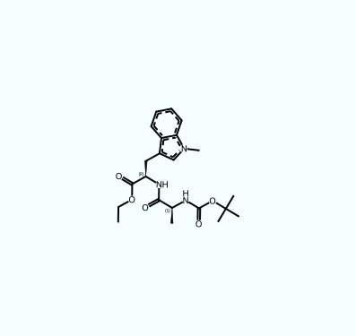 CCOC(=O)[C@@H](Cc1cn(C)c2ccccc12)NC(=O)[C@H](C)NC(=O)OC(C)(C)C